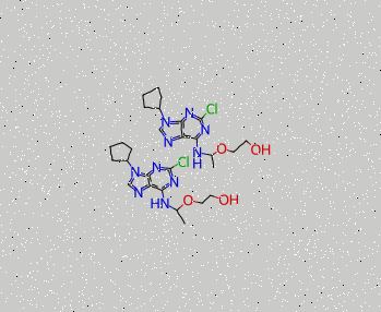 CC(Nc1nc(Cl)nc2c1ncn2C1CCCC1)OCCO.CC(Nc1nc(Cl)nc2c1ncn2C1CCCC1)OCCO